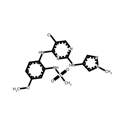 COc1ccc(Nc2nc(Nc3cnn(C)c3)ncc2Cl)c(NS(C)(=O)=O)c1